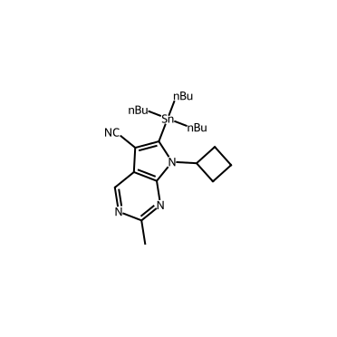 CCC[CH2][Sn]([CH2]CCC)([CH2]CCC)[c]1c(C#N)c2cnc(C)nc2n1C1CCC1